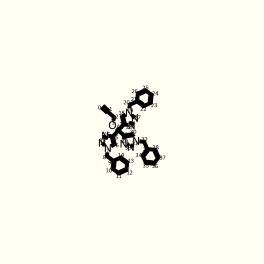 C#CCOC(c1cn(Cc2ccccc2)nn1)(c1cn(Cc2ccccc2)nn1)c1cn(Cc2ccccc2)nn1